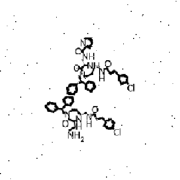 NCC[C@@H]1N[C@H](CNC(=O)CCc2ccc(Cl)cc2)CCN(CC(c2ccccc2)c2ccccc2)C1=O.O=C(C=Cc1ccc(Cl)cc1)NC[C@@H]1CCN(CC(c2ccccc2)c2ccccc2)C(=O)[C@H](CNC(=O)c2ccccn2)N1